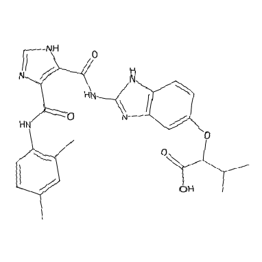 Cc1ccc(NC(=O)c2nc[nH]c2C(=O)Nc2nc3cc(OC(C(=O)O)C(C)C)ccc3[nH]2)c(C)c1